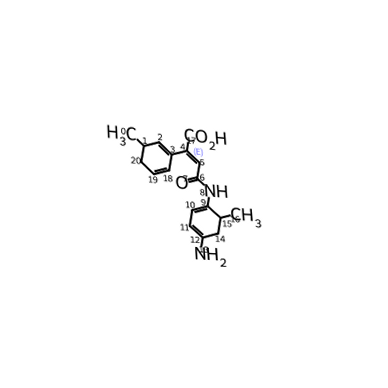 CC1C=C(/C(=C\C(=O)NC2=CC=C(N)CC2C)C(=O)O)C=CC1